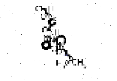 CN(C)C/C=C/C(=O)N1CCCC[C@@H](n2c(NC(=O)c3csc(NC(=O)CCl)c3)nc3cccc(Cl)c32)C1